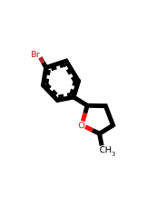 CC1CCC(c2ccc(Br)cc2)O1